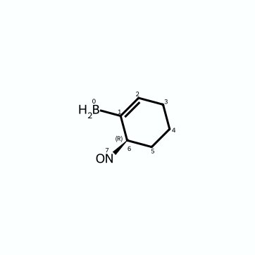 BC1=CCCC[C@H]1N=O